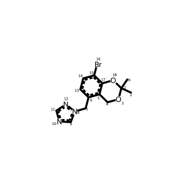 CC1(C)OCc2c(Cn3cncn3)ccc(Br)c2O1